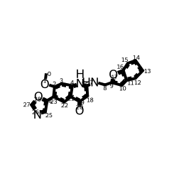 COc1cc2[nH]c(NCc3cc4ccccc4o3)cc(=O)c2cc1-c1cnco1